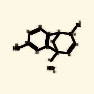 Br.CCN1C=CC2(C)CC1c1ccc(O)cc12